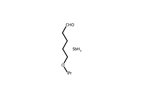 CC(C)OCCCCC=O.[SbH3]